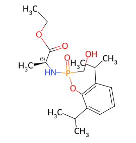 CCOC(=O)[C@H](C)NP(=O)(CO)Oc1c(C(C)C)cccc1C(C)C